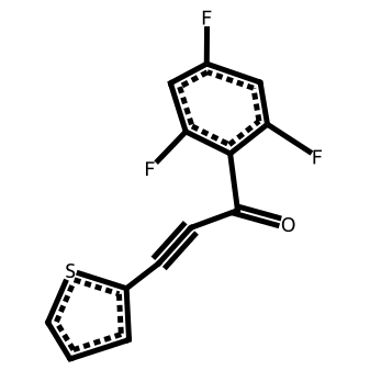 O=C(C#Cc1cccs1)c1c(F)cc(F)cc1F